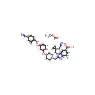 COC=O.N#CCC1(Cn2c(CN3CCC(Oc4cccc(OCc5ccc(C#N)cc5F)c4)CC3)nc3c(F)cc(C(=O)O)cc32)CC1